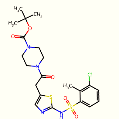 Cc1c(Cl)cccc1S(=O)(=O)Nc1ncc(CC(=O)N2CCN(C(=O)OC(C)(C)C)CC2)s1